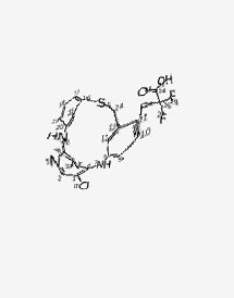 Clc1cnc2nc1Nc1cccc(c1)CSc1cccc(c1)N2.O=C(O)C(F)(F)F